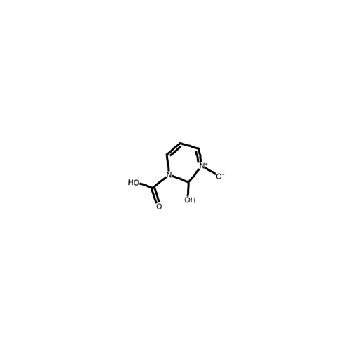 O=C(O)N1C=CC=[N+]([O-])C1O